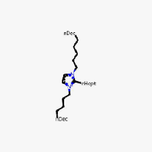 CCCCCCCCCCCCCCCn1cc[n+](CCCCCCCCCCCCCC)c1CCCCCCC